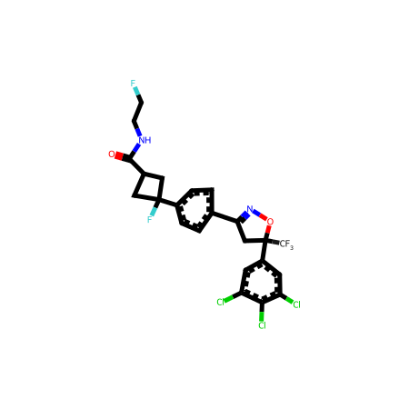 O=C(NCCF)C1CC(F)(c2ccc(C3=NOC(c4cc(Cl)c(Cl)c(Cl)c4)(C(F)(F)F)C3)cc2)C1